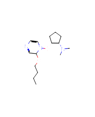 CCCCOC1C=NC=CN1O[C@@H]1CCC[C@H]1N(C)C